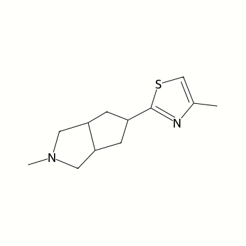 Cc1csc(C2CC3CN(C)CC3C2)n1